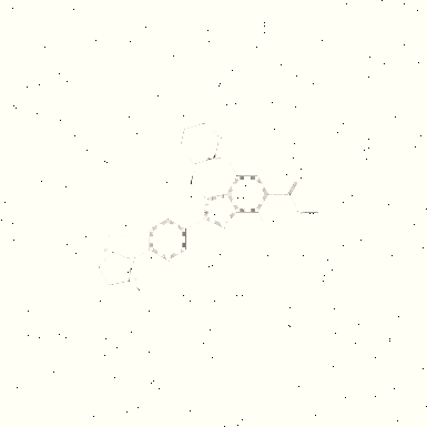 CCNC(=O)c1cc(OC)c2c(nc(-c3ccc(N4[C@@H](C)CC[C@@H]4C)nc3)n2C[C@@H]2CNCCO2)c1F